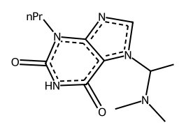 CCCn1c(=O)[nH]c(=O)c2c1ncn2C(C)N(C)C